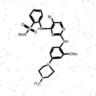 CNS(=O)(=O)c1ccccc1Nc1nc(Nc2ccc(N3CCN(C)CC3)cc2OC)ncc1Br